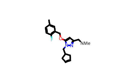 CNCc1cc(OCc2cc(C)ccc2F)n(CC2CC=CC2)n1